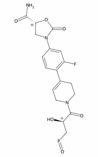 NC(=O)[C@H]1CN(c2ccc(C3=CCN(C(=O)[C@H](O)CP=O)CC3)c(F)c2)C(=O)O1